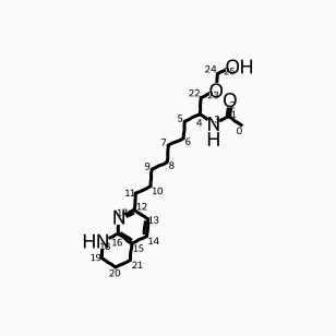 CC(=O)NC(CCCCCCCc1ccc2c(n1)NCCC2)COCO